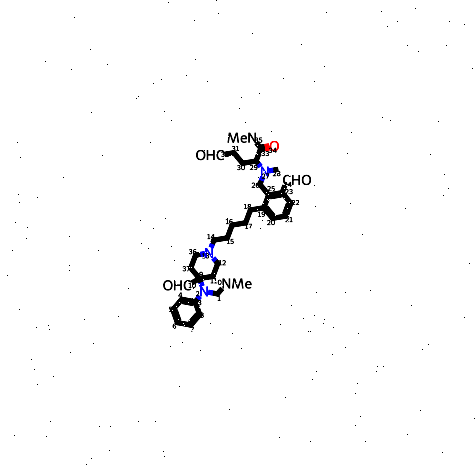 CNCN(c1ccccc1)C1(C=O)CCN(CCCCCc2cccc(C=O)c2CN(C)C(CCC=O)C(=O)NC)CC1